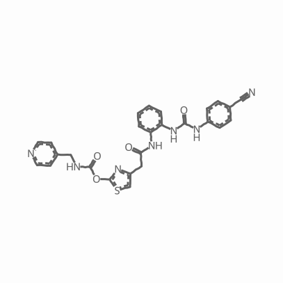 N#Cc1ccc(NC(=O)Nc2ccccc2NC(=O)Cc2csc(OC(=O)NCc3ccncc3)n2)cc1